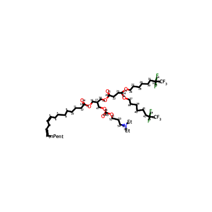 CCCCC/C=C\C/C=C\CCCCCCCC(=O)OCC(COC(=O)CCC(OCCCCCCC(F)(F)C(F)(F)F)OCCCCCCC(F)(F)C(F)(F)F)COC(=O)OCCCN(CC)CC